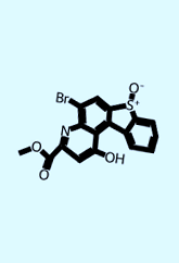 COC(=O)c1cc(O)c2c(n1)c(Br)cc1c2c2ccccc2[s+]1[O-]